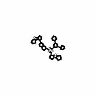 c1ccc(-c2cc(-c3ccccc3)cc(-c3nc(-c4ccc5ccc(-c6cccc7oc8ccccc8c67)cc5c4)nc(-c4cccc5c4oc4ccccc45)n3)c2)cc1